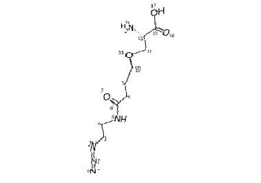 [N-]=[N+]=NCCNC(=O)CCCOC[C@H](N)C(=O)O